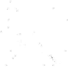 N[C@@H]1CCN(C(=O)Oc2cc(Cl)ccc2Cl)C1